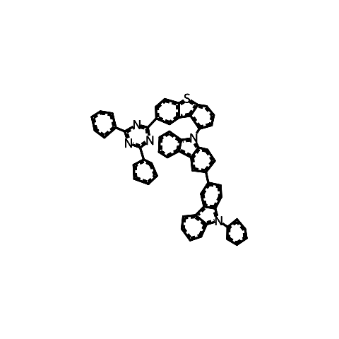 c1ccc(-c2nc(-c3ccccc3)nc(-c3ccc4sc5cccc(-n6c7ccccc7c7cc(-c8ccc9c(c8)c8ccccc8n9-c8ccccc8)ccc76)c5c4c3)n2)cc1